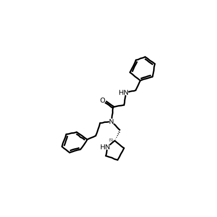 O=C(CNCc1ccccc1)N(CCc1ccccc1)C[C@@H]1CCCN1